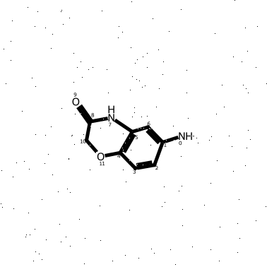 [NH]c1ccc2c(c1)NC(=O)CO2